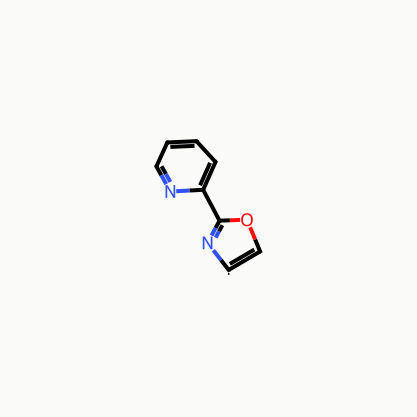 [c]1coc(-c2ccccn2)n1